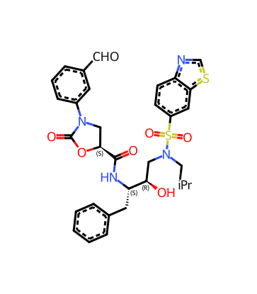 CC(C)CN(C[C@@H](O)[C@H](Cc1ccccc1)NC(=O)[C@@H]1CN(c2cccc(C=O)c2)C(=O)O1)S(=O)(=O)c1ccc2ncsc2c1